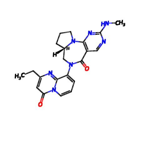 CCc1cc(=O)n2cccc(N3C[C@@H]4CCCN4c4nc(NC)ncc4C3=O)c2n1